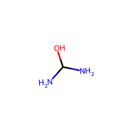 NC(N)O